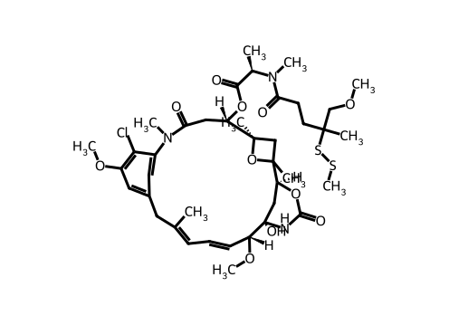 COCC(C)(CCC(=O)N(C)[C@H](C)C(=O)O[C@H]1CC(=O)N(C)c2cc(cc(OC)c2Cl)C/C(C)=C/C=C/[C@@H](OC)[C@@]2(O)C[C@H](OC(=O)N2)C2(C)C[C@@]1(C)O2)SSC